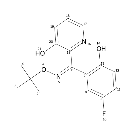 CC(C)(C)ON=C(c1cc(F)ccc1O)c1ncccc1O